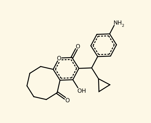 Nc1ccc(C(c2c(O)c3c(oc2=O)CCCCCC3=O)C2CC2)cc1